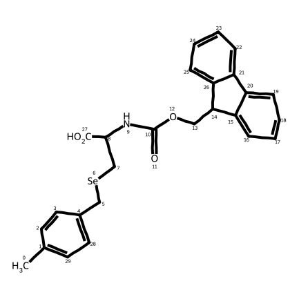 Cc1ccc(C[Se]CC(NC(=O)OCC2c3ccccc3-c3ccccc32)C(=O)O)cc1